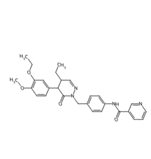 CCOc1cc(C2C(=O)N(Cc3ccc(NC(=O)c4cccnc4)cc3)N=CC2CC)ccc1OC